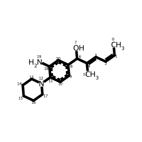 C/C=C\C=C(/C)C(O)c1ccc(N2CCCCC2)c(N)c1